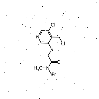 CC(C)N(C)C(=O)CSc1cncc(Cl)c1CCl